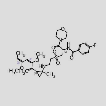 C=C(/C(=C\C(=C/C)OC)OC)[C@@H]1CC1(C)NCCS(=O)(=O)C[C@@H](NC(=O)c1ccc(F)cc1)C(=O)N1CCOCC1